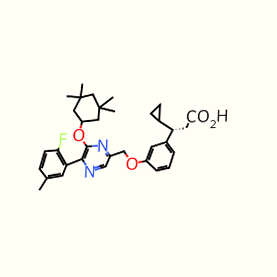 Cc1ccc(F)c(-c2ncc(COc3cccc([C@@H](CC(=O)O)C4CC4)c3)nc2OC2CC(C)(C)CC(C)(C)C2)c1